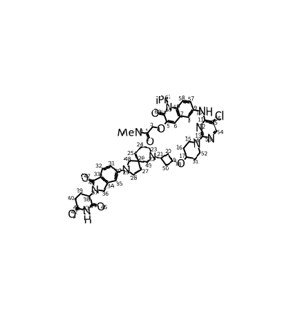 CNC(=O)COc1cc2cc(Nc3nc(N4CCC(O[C@H]5C[C@H](N6CCCC7(CCN(c8ccc9c(c8)CN(C8CCC(=O)NC8=O)C9=O)C7)C6)C5)CC4)ncc3Cl)ccc2n(C(C)C)c1=O